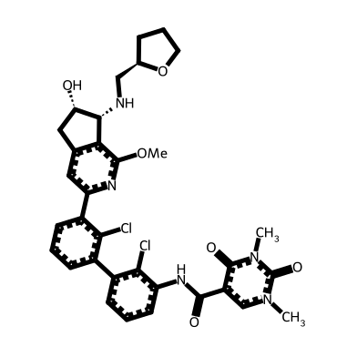 COc1nc(-c2cccc(-c3cccc(NC(=O)c4cn(C)c(=O)n(C)c4=O)c3Cl)c2Cl)cc2c1[C@@H](NC[C@H]1CCCO1)[C@@H](O)C2